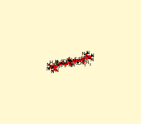 COc1cc(/C=C2\C(=O)c3cc(C#N)c(C#N)cc3C2=C(C#N)C#N)sc1-c1cc2c(s1)-c1sc3cc(-c4c5c(c(-c6cc7sc8c(c7s6)C(C)(C)c6cc(-c7sc(/C=C9\C(=O)c%10cc(C#N)c(C#N)cc%10C9=C(C#N)C#N)cc7OC)sc6-8)c6nsnc46)N=S=N5)sc3c1C2(C)C